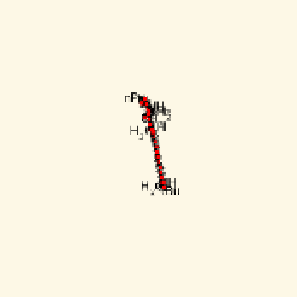 C=CC(CCCCNC(=C)CCCCCCCCCCCCCCCCCCCCNC(=C)CC(C)(C)C)N(N)/C=C(\N)c1ccc(CCC)cc1